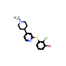 CN1CCC(c2ccnc(Sc3cccc(Br)c3Cl)c2)CC1